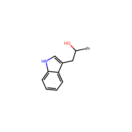 CC(C)C(O)Cc1c[nH]c2ccccc12